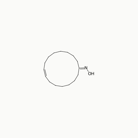 ON=C1CCCCCCC=CCCCCCCC1